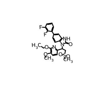 CCOc1nc(C(CS(C)(=O)=O)n2c(=O)[nH]c3cc(-c4cccc(F)c4F)ccc32)ccc1OC